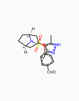 Cc1n[nH]c(C)c1S(=O)(=O)N1[C@@H]2CC[C@H]1CC(Oc1ccc(C=O)cc1)C2